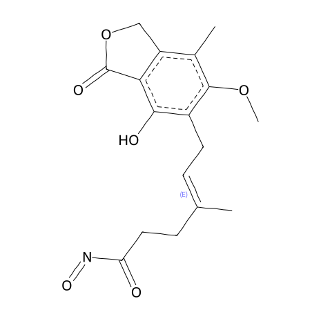 COc1c(C)c2c(c(O)c1C/C=C(\C)CCC(=O)N=O)C(=O)OC2